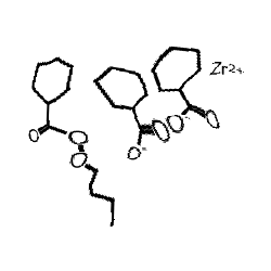 CCCCOOC(=O)C1CCCCC1.O=C([O-])C1CCCCC1.O=C([O-])C1CCCCC1.[Zr+2]